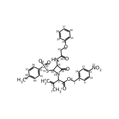 C=C(C)C(C(=O)OCc1ccc([N+](=O)[O-])cc1)N1C(=O)C(NC(=O)COc2ccccc2)C1SS(=O)(=O)c1ccc(C)cc1